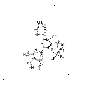 Cc1ccc(-c2cc(C(=O)NC(C)c3cnccn3)cc(-n3ncnc3C(F)(F)F)c2F)nc1